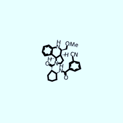 COC[C@@H]1Nc2ccccc2[C@H]2[C@@H]1CCN2C(=O)[C@H]1CCCC[C@H]1NC(=O)c1cccc(C#N)c1